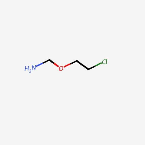 NCOCCCl